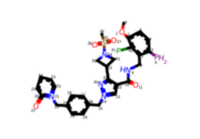 COc1ccc(P)c(CNC(=O)c2cn(Cc3ccc(Cn4ccccc4=O)cc3)nc2C2CN(S(C)(=O)=O)C2)c1F